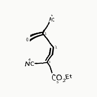 C=C(/C=C(\C#N)C(=O)OCC)C(C)=O